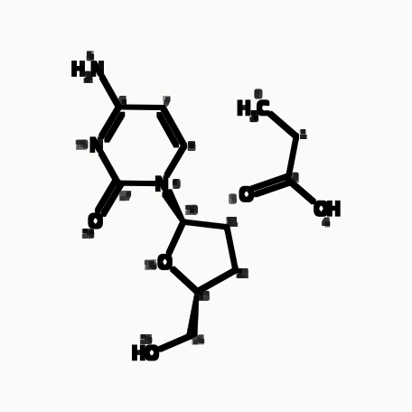 CCC(=O)O.Nc1ccn([C@H]2CC[C@@H](CO)O2)c(=O)n1